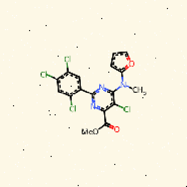 COC(=O)c1nc(-c2cc(Cl)c(Cl)cc2Cl)nc(N(C)c2ccco2)c1Cl